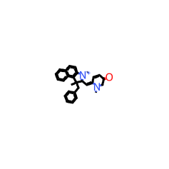 CN1CC(=O)C=C/C1=C\C1=[N+](C)c2ccc3ccccc3c2C1(C)Cc1ccccc1